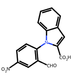 O=Cc1cc([N+](=O)[O-])ccc1-n1c(C(=O)O)cc2ccccc21